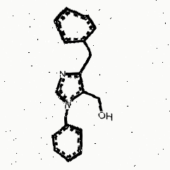 OCc1c(Cc2ccccc2)ncn1-c1ccccc1